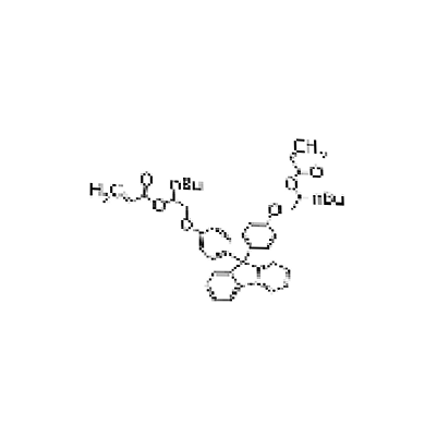 C=CC(=O)OC(CCCC)COc1ccc(C2(c3ccc(OCC(CCCC)OC(=O)C=C)cc3)c3ccccc3-c3ccccc32)cc1